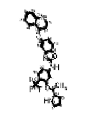 CC(Oc1cc(Nc2nc3cc(Oc4ccnc5ccccc45)ccc3o2)ccc1C(F)(F)F)C1CCCN1